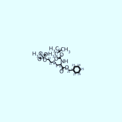 CC(C)(C)OC(=O)NC(CSCCOS(C)(=O)=O)C(=O)OCc1ccccc1